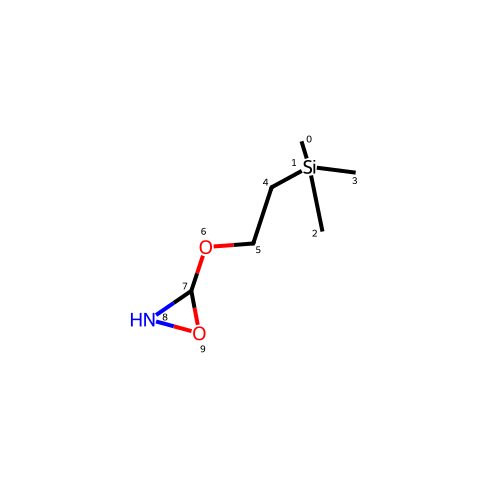 C[Si](C)(C)CCOC1NO1